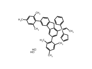 C[CH]=[Ti]([C]1=CC=CC1)([c]1ccccc1)[c]1cc(-c2c(C)cc(C)cc2C)cc2c1Cc1ccc(-c3c(C)cc(C)cc3C)cc1-2.Cl.Cl